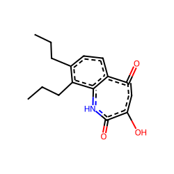 CCCc1ccc2c(=O)cc(O)c(=O)[nH]c2c1CCC